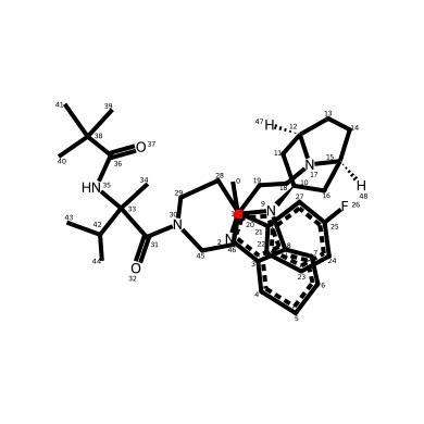 Cc1nc2ccccc2n1[C@H]1C[C@H]2CC[C@@H](C1)N2CCC1(c2cccc(F)c2)CCN(C(=O)C(C)(NC(=O)C(C)(C)C)C(C)C)CC1